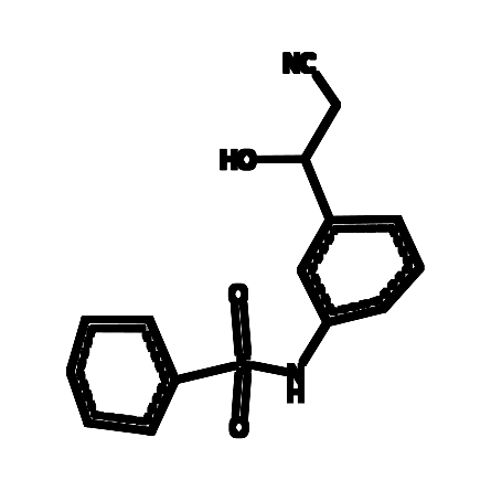 N#CCC(O)c1cccc(NS(=O)(=O)c2ccccc2)c1